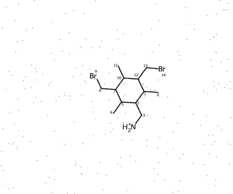 CC1C(CN)C(C)C(CBr)C(C)C1CBr